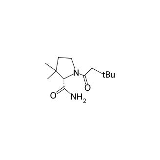 CC(C)(C)CC(=O)N1CCC(C)(C)[C@H]1C(N)=O